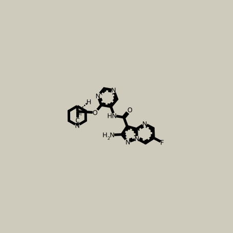 Nc1nn2cc(F)cnc2c1C(=O)Nc1cncnc1O[C@H]1CN2CCC1CC2